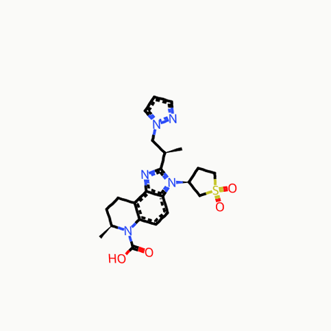 C[C@H](Cn1cccn1)c1nc2c3c(ccc2n1[C@H]1CCS(=O)(=O)C1)N(C(=O)O)[C@@H](C)CC3